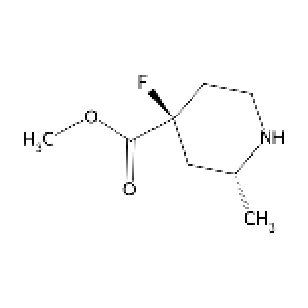 COC(=O)[C@]1(F)CCN[C@H](C)C1